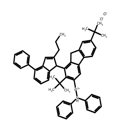 CCCC1=Cc2c(-c3ccccc3)cccc2C1c1c2c(c[c]([Zr+2][SiH](c3ccccc3)c3ccccc3)c1C(C)(C)C)-c1ccc(C(C)(C)C)cc1C2.[Cl-].[Cl-]